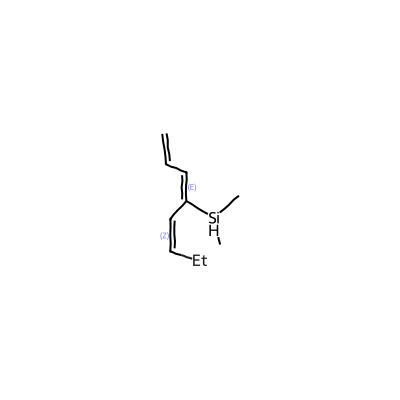 C=C/C=C(\C=C/CC)[SiH](C)C